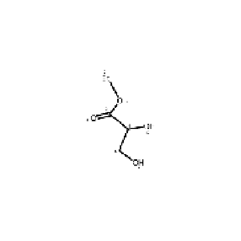 CCOC(=O)C(O)CO